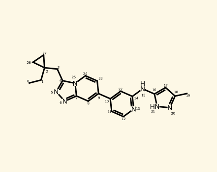 CCC1(Cc2nnc3cc(-c4ccnc(Nc5cc(C)n[nH]5)c4)ccn23)CC1